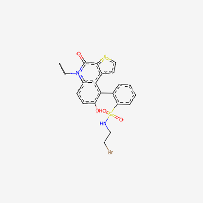 CCn1c(=O)c2sccc2c2c(-c3ccccc3S(=O)(=O)NCCBr)c(O)ccc21